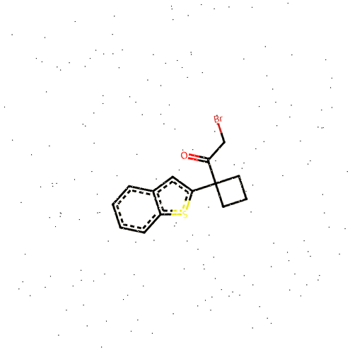 O=C(CBr)C1(c2cc3ccccc3s2)CCC1